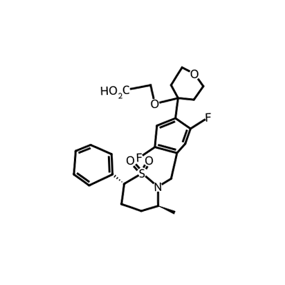 C[C@H]1CC[C@H](c2ccccc2)S(=O)(=O)N1Cc1cc(F)c(C2(OCC(=O)O)CCOCC2)cc1F